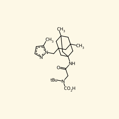 Cc1ccnn1CC12CC3(C)CC(C)(C1)CC(NC(=O)CN(C(=O)O)C(C)(C)C)(C3)C2